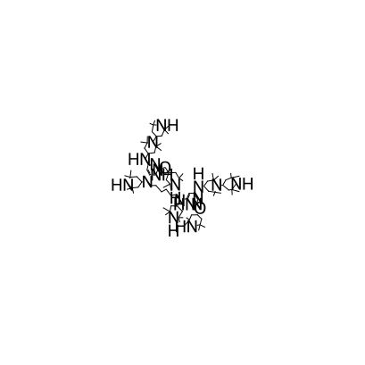 CC1(C)CC(ON2N=C(NC3CC(C)(C)N(C4CC(C)(C)NC(C)(C)C4)C(C)(C)C3)C=C(N(CCCCCCN(C3=CC(NC4CC(C)(C)N(C5CC(C)(C)NC(C)(C)C5)C(C)(C)C4)=NN(OC4CC(C)(C)NC(C)(C)C4)N3)C3CC(C)(C)NC(C)(C)C3)C3CC(C)(C)NC(C)(C)C3)N2)CC(C)(C)N1